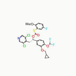 COc1ccc(F)cc1SC(=O)O[C@@H](Cc1c(Cl)cncc1Cl)c1ccc(OC(F)F)c(OCC2CC2)c1